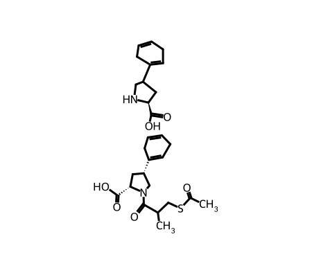 CC(=O)SCC(C)C(=O)N1C[C@@H](C2=CCC=CC2)C[C@H]1C(=O)O.O=C(O)[C@@H]1CC(C2=CCC=CC2)CN1